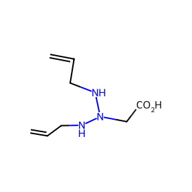 C=CCNN(CC(=O)O)NCC=C